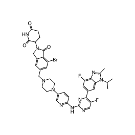 Cc1nc2c(F)cc(-c3nc(Nc4ccc(N5CCN(Cc6cc(Br)c7c(c6)CN(C6CCC(=O)NC6=O)C7=O)CC5)cn4)ncc3F)cc2n1C(C)C